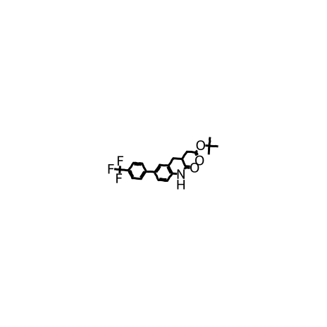 CC(C)(C)OC(=O)CC1Cc2cc(-c3ccc(C(F)(F)F)cc3)ccc2NC1=O